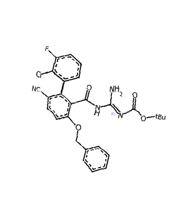 CC(C)(C)OC(=O)/N=C(\N)NC(=O)c1c(OCc2ccccc2)ccc(C#N)c1-c1cccc(F)c1Cl